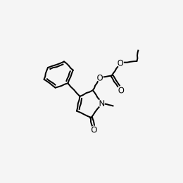 CCOC(=O)OC1C(c2ccccc2)=CC(=O)N1C